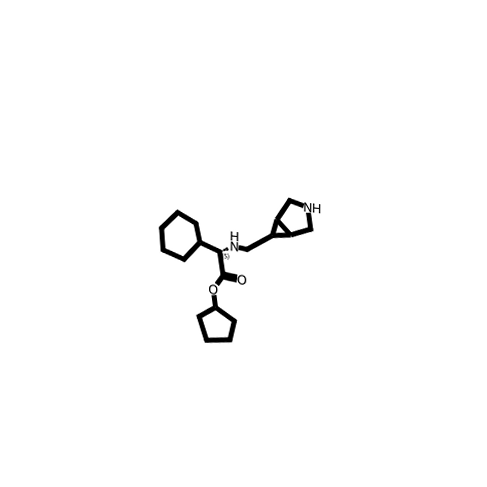 O=C(OC1CCCC1)[C@@H](NCC1C2CNCC21)C1CCCCC1